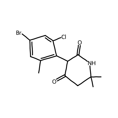 Cc1cc(Br)cc(Cl)c1C1C(=O)CC(C)(C)NC1=O